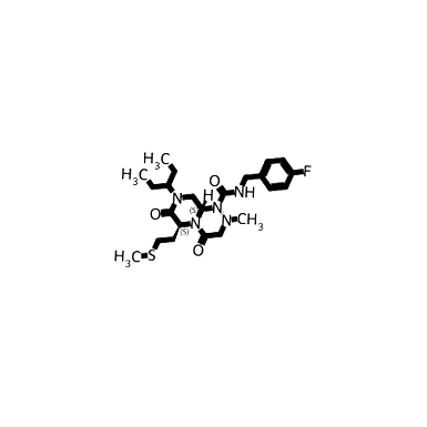 CCC(CC)N1C[C@H]2N(C(=O)CN(C)N2C(=O)NCc2ccc(F)cc2)[C@@H](CCSC)C1=O